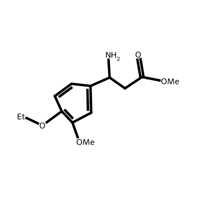 CCOc1ccc(C(N)CC(=O)OC)cc1OC